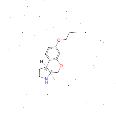 CCCOc1ccc2c(c1)OC[C@@]1(C)NCC[C@@H]21